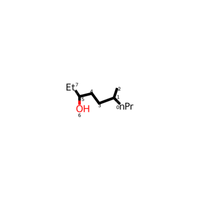 CCCC(C)CCC(O)CC